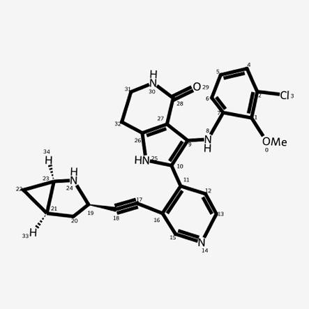 COc1c(Cl)cccc1Nc1c(-c2ccncc2C#C[C@H]2C[C@H]3C[C@H]3N2)[nH]c2c1C(=O)NCC2